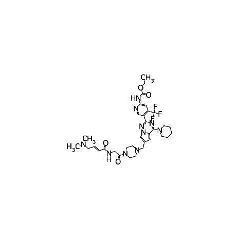 CCOC(=O)Nc1cc(C(F)(F)F)c(-c2nc(N3CCCCC3)c3cc(CN4CCN(C(=O)CNC(=O)/C=C/CN(C)C)CC4)cn3n2)cn1